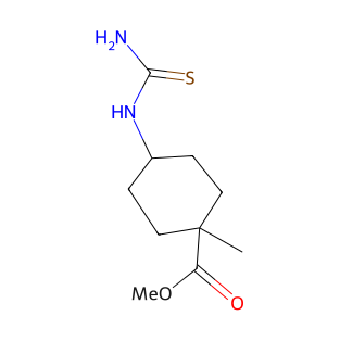 COC(=O)C1(C)CCC(NC(N)=S)CC1